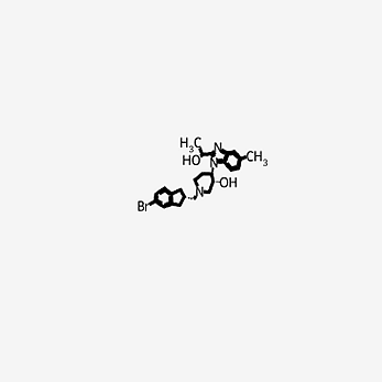 Cc1ccc2c(c1)nc(C(C)O)n2[C@@H]1CCN(C[C@H]2Cc3ccc(Br)cc3C2)C[C@H]1O